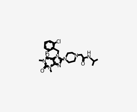 CC(C)NC(=O)CN1CCN(c2nc3c(c(=O)n(C)c(=O)n3C)n2Cc2c(F)cccc2Cl)CC1